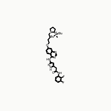 CC(C)(C)[PH](C)([C@H]1CCCN1CCCCOc1ccc2c(Nc3cc(CC(=O)Nc4cccc(F)c4F)[nH]n3)ncnc2c1)C(C)(C)C